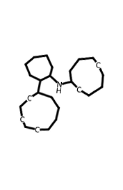 C1CCCCC(C2CCCCCC2NC2CCCCCCCC2)CCCC1